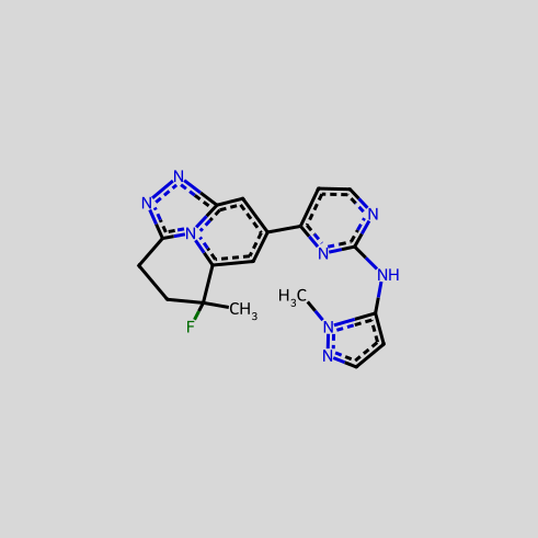 Cn1nccc1Nc1nccc(-c2cc3n4c(nnc4c2)CCC3(C)F)n1